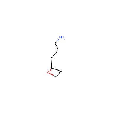 NCCCC1CCO1